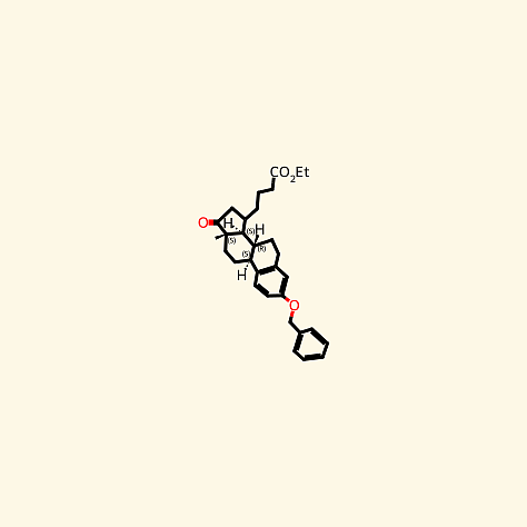 CCOC(=O)CCCC1CC(=O)[C@@]2(C)CC[C@@H]3c4ccc(OCc5ccccc5)cc4CC[C@H]3[C@H]12